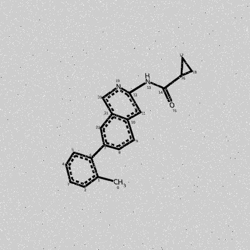 Cc1ccccc1-c1ccc2cc(NC(=O)C3CC3)ncc2c1